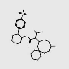 CS(=O)(=O)c1ccc(C2CCNCC2NC(=O)C(C(N)N)C2CC3(CCCCC3)CCC(F)CN2)cc1